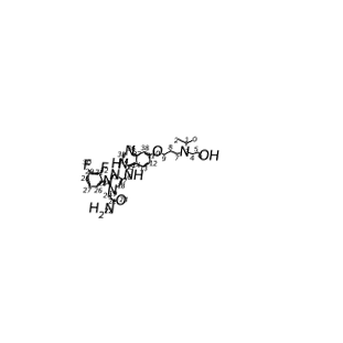 CC(C)N(CCO)CCCOc1ccc2c(NC3=CN(CC(N)=O)N(c4cccc(F)c4F)N3)ncnc2c1